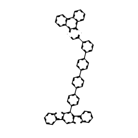 c1cc(-c2ccc(-c3ccc(-c4ccc(-c5c6oc7ccccc7c6cc6oc7ccccc7c56)cc4)cc3)cc2)cc(-c2cnc3c4ccccc4c4ccccc4c3n2)c1